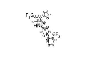 FC(F)(F)c1cc(-c2cccs2)c2nc(N3CCN(c4ncccc4C(F)(F)F)CC3)[nH]c2c1